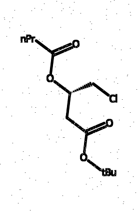 CCCC(=O)O[C@H](CCl)CC(=O)OC(C)(C)C